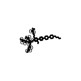 C=C(C)C(=O)OCCCc1cc(-c2ccc(C3CCC(C4CCC(CCCCC)CC4)CC3)cc2)c(CC)cc1OCC(COC(=O)CC(=O)OC)(COC(=O)CC(=O)OC)COC(=O)C(=C)C